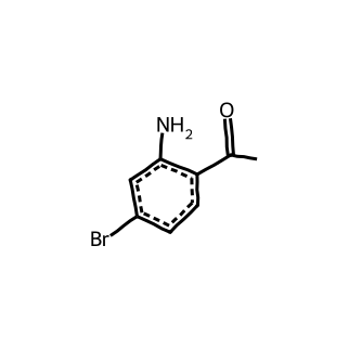 CC(=O)c1ccc(Br)cc1N